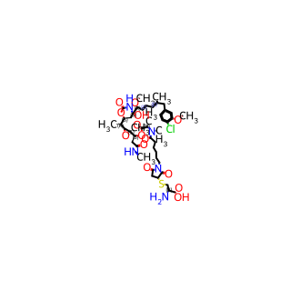 CNC(=O)C[C@H](OC(=O)[C@H](C)N(C)C(=O)CCCCCN1C(=O)CC(SC[C@H](N)C(=O)O)C1=O)[C@]1(C)OC1[C@H](C)[C@@H]1C[C@](O)([C@@H](/C=C/C=C(\C)Cc2ccc(Cl)c(OC)c2)OC)NC(=O)O1